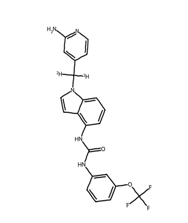 [2H]C([2H])(c1ccnc(N)c1)n1ccc2c(NC(=O)Nc3cccc(OC(F)(F)F)c3)cccc21